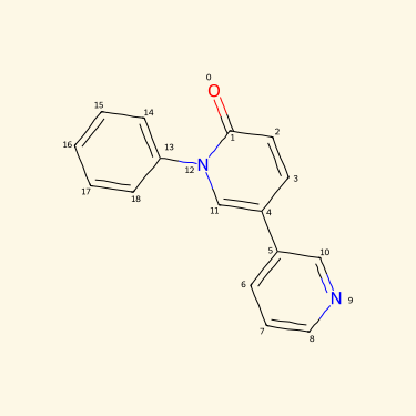 O=c1ccc(-c2cccnc2)cn1-c1ccccc1